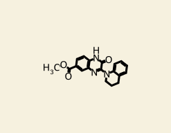 COC(=O)c1ccc2[nH]c(=O)c(N3CCCc4ccccc43)nc2c1